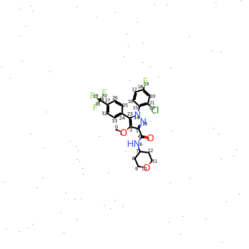 COc1c(C(=O)NC2CCOCC2)nn(-c2ccc(F)cc2Cl)c1-c1ccc(C(F)(F)F)cc1